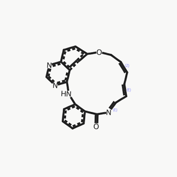 O=C1/N=C/C=C/C=C\COc2ccc3ncnc(c3c2)Nc2ccccc21